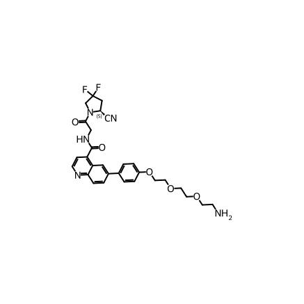 N#C[C@@H]1CC(F)(F)CN1C(=O)CNC(=O)c1ccnc2ccc(-c3ccc(OCCOCCOCCN)cc3)cc12